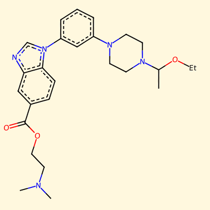 CCOC(C)N1CCN(c2cccc(-n3cnc4cc(C(=O)OCCN(C)C)ccc43)c2)CC1